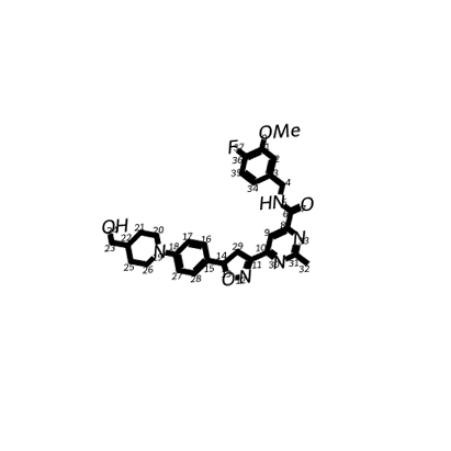 COc1cc(CNC(=O)c2cc(C3=NOC(c4ccc(N5CCC(CO)CC5)cc4)C3)nc(C)n2)ccc1F